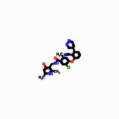 Cc1cc(=O)c(CNC(=O)c2cc(Cl)c(Oc3cccc(-c4ccnnc4)c3C#N)cc2C)c(C)[nH]1